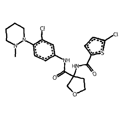 CN1CCCCN1c1ccc(NC(=O)C2(NC(=O)c3ccc(Cl)s3)CCOC2)cc1Cl